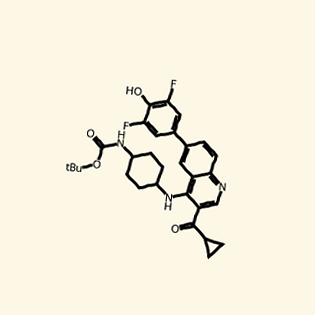 CC(C)(C)OC(=O)NC1CCC(Nc2c(C(=O)C3CC3)cnc3ccc(-c4cc(F)c(O)c(F)c4)cc23)CC1